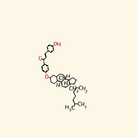 CC(C)CCCC(C)[C@H]1CC[C@H]2[C@@H]3CCC4CC(Oc5ccc(C(=O)C=Cc6ccc(O)cc6)cc5)CC[C@]4(C)[C@H]3CC[C@]12C